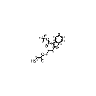 CC(C)(C)OC(=O)n1c(CCCOC(=O)CS)nc2ccccc21